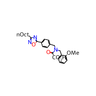 CCCCCCCCc1noc(-c2ccc(CN(Cc3ccccc3OC)C(=O)C(=O)O)cc2)n1